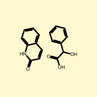 O=C(O)C(O)c1ccccc1.O=c1ccc2ccccc2[nH]1